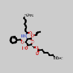 CC=CO[C@@H]1O[C@H](COC(=O)CCCCCCCCCCCCCCC)[C@@H](O)[C@H](OCc2ccccc2)[C@H]1NC(=O)CCCCCCCCCCCCCCC